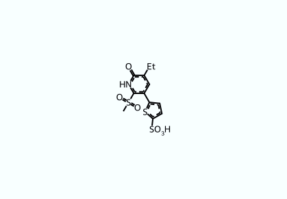 CCc1cc(-c2ccc(S(=O)(=O)O)s2)c(S(C)(=O)=O)[nH]c1=O